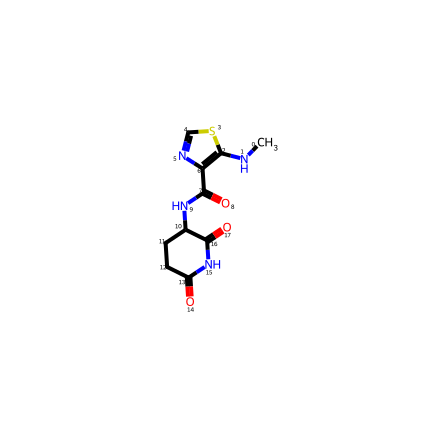 CNc1scnc1C(=O)NC1CCC(=O)NC1=O